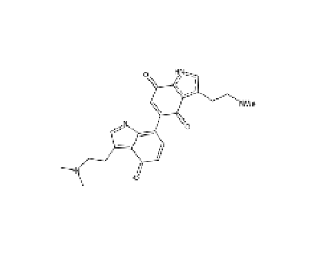 CNCCc1c[nH]c2c1C(=O)C(C1=C3N=CC(CCN(C)C)=C3C(=O)C=C1)=CC2=O